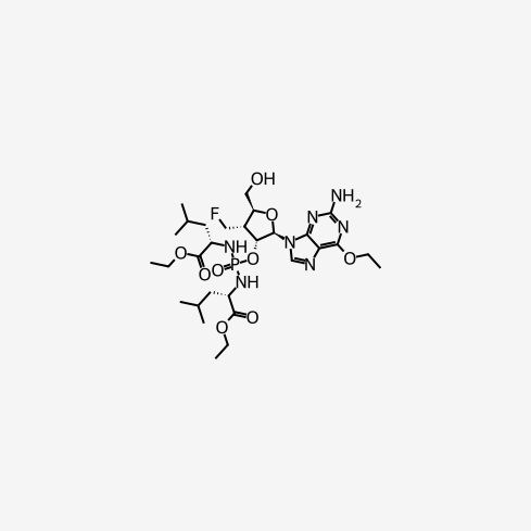 CCOC(=O)[C@H](CC(C)C)NP(=O)(N[C@@H](CC(C)C)C(=O)OCC)O[C@@H]1[C@H](CF)[C@@H](CO)O[C@H]1n1cnc2c(OCC)nc(N)nc21